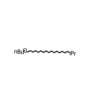 CCCCOCCCCCCCCCCCCCCCCC(C)C